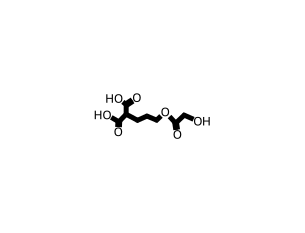 O=C(CO)OCCCC(C(=O)O)C(=O)O